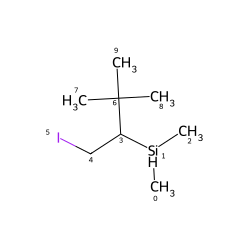 C[SiH](C)C(CI)C(C)(C)C